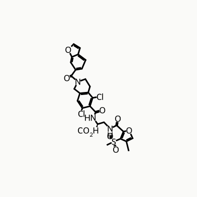 Cc1coc(C(=O)NC[C@H](NC(=O)c2c(Cl)cc3c(c2Cl)CCN(C(=O)c2ccc4ccoc4c2)C3)C(=O)O)c1S(C)(=O)=O